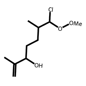 C=C(C)C(O)CCC(C)C(Cl)OOC